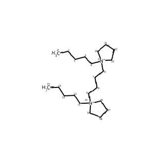 CCCCC[N+]1(CCCC[N+]2(CCCCC)CCCC2)CCCC1